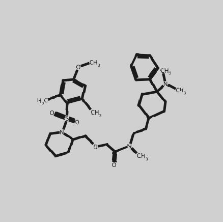 COc1cc(C)c(S(=O)(=O)N2CCCCC2COCC(=O)N(C)CCC2CCC(c3ccccc3)(N(C)C)CC2)c(C)c1